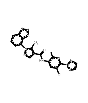 O=C(Nc1cc(Cl)c(-n2nccn2)nc1F)c1cnn(-c2cccc3nnsc23)c1C(F)(F)F